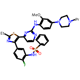 CCc1nc(-c2ccc(F)c(NS(=O)(=O)c3ccccc3)c2)c(-c2ccnc(Nc3ccc(N4CCN(C(C)C)CC4)cc3OC)n2)s1